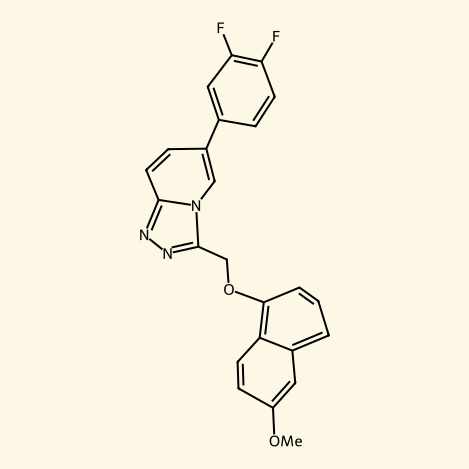 COc1ccc2c(OCc3nnc4ccc(-c5ccc(F)c(F)c5)cn34)cccc2c1